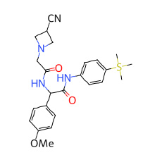 COc1ccc(C(NC(=O)CN2CC(C#N)C2)C(=O)Nc2ccc(S(C)(C)C)cc2)cc1